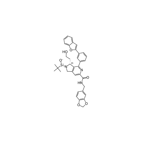 CC(C)(C)[S+]([O-])N1Cc2cc(C(=O)NCc3ccc4c(c3)OCO4)nc(-c3cccc(-c4cc5ccccc5o4)c3)c2[C@H]1CCO